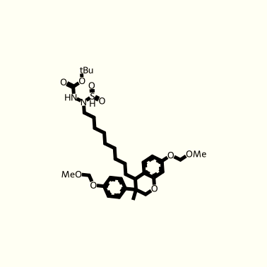 COCOc1ccc(C2(C)COc3cc(OCOC)ccc3C2CCCCCCCCCN(NC(=O)OC(C)(C)C)[SH](=O)=O)cc1